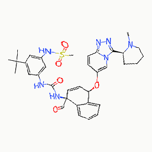 CN1CCCC[C@H]1c1nnc2ccc(O[C@@H]3C=C[C@](C=O)(NC(=O)Nc4cc(NS(C)(=O)=O)cc(C(C)(C)C)c4)c4ccccc43)cn12